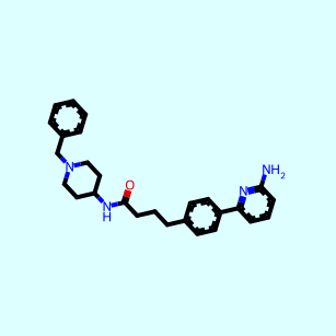 Nc1cccc(-c2ccc(CCCC(=O)NC3CCN(Cc4ccccc4)CC3)cc2)n1